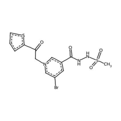 CS(=O)(=O)NNC(=O)c1cc(Br)c[n+](CC(=O)c2cccs2)c1